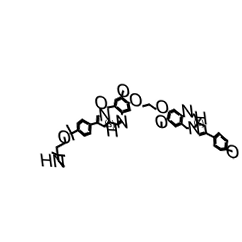 CNC(C)(C)CCOC(C)(C)c1ccc(C2=CN3C(=O)c4cc(OC)c(OCCCOc5cc6c(cc5OC)CN5C=C(c7ccc(OC)cc7)C[C@H]5C=N6)cc4N=C[C@@H]3C2)cc1